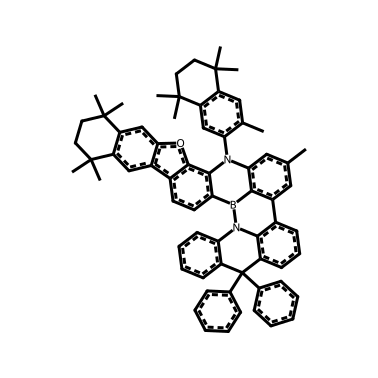 Cc1cc2c3c(c1)N(c1cc4c(cc1C)C(C)(C)CCC4(C)C)c1c(ccc4c1oc1cc5c(cc14)C(C)(C)CCC5(C)C)B3N1c3ccccc3C(c3ccccc3)(c3ccccc3)c3cccc-2c31